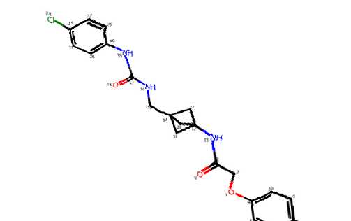 O=C(COc1ccc(Cl)cc1)NC12CC(CNC(=O)Nc3ccc(Cl)cc3)(C1)C2